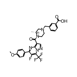 COc1ccc(-c2nc3c(C(=O)N4CCN(Cc5cccc(C(=O)O)c5)C[C@H]4C)cnn3c(C(F)(F)F)c2F)cc1